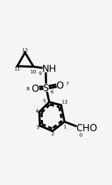 O=Cc1cccc(S(=O)(=O)NC2CC2)c1